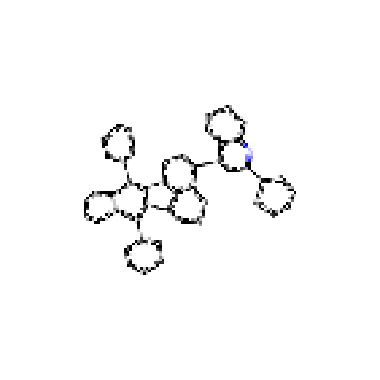 c1ccc(-c2cc(-c3ccc4c5c(cccc35)-c3c-4c(-c4ccccc4)c4ccccc4c3-c3ccccc3)c3ccccc3n2)cc1